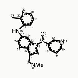 CNCc1cn([S+]([O-])c2cccnc2)c2cc(Nc3cccnc3C)ccc12